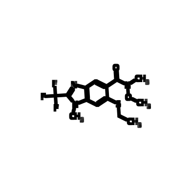 CCSc1cc2c(cc1C(=O)N(C)OC)nc(C(F)(F)F)n2C